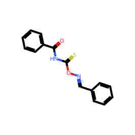 O=C(NC(=S)O/N=C/c1ccccc1)c1ccccc1